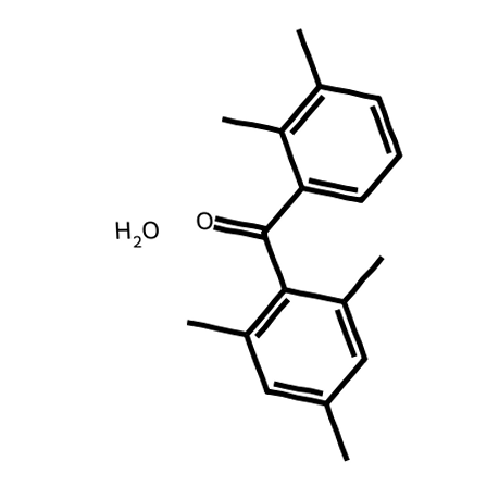 Cc1cc(C)c(C(=O)c2cccc(C)c2C)c(C)c1.O